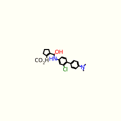 CN(C)c1ccc(-c2ccc(NC(O)C3=C(C(=O)O)CCC3)cc2Cl)cc1